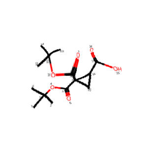 CC(C)(C)OC(=O)C1(C(=O)OC(C)(C)C)CC1C(=O)O